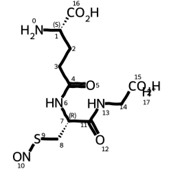 N[C@@H](CCC(=O)N[C@@H](CSN=O)C(=O)NCC(=O)O)C(=O)O.[H+]